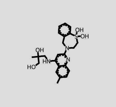 Cc1ccc2nc(N3CCS(O)(O)c4ccccc4C3)cc(NCC(C)(O)CO)c2c1